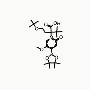 COc1cn(C(CCOC(C)(C)C)(C(=O)O)C(C)(C)C)c(=O)cc1B1OC(C)(C)C(C)(C)O1